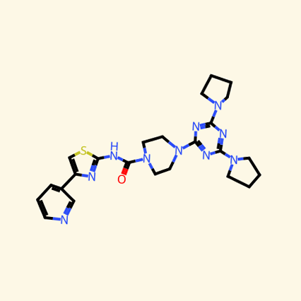 O=C(Nc1nc(-c2cccnc2)cs1)N1CCN(c2nc(N3CCCC3)nc(N3CCCC3)n2)CC1